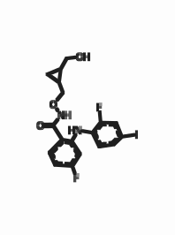 O=C(NOCC1CC1CO)c1ccc(F)cc1Nc1ccc(I)cc1F